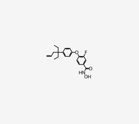 C=CCC(CC)(CC)c1ccc(Oc2ccc(C(=O)NO)cc2F)cc1